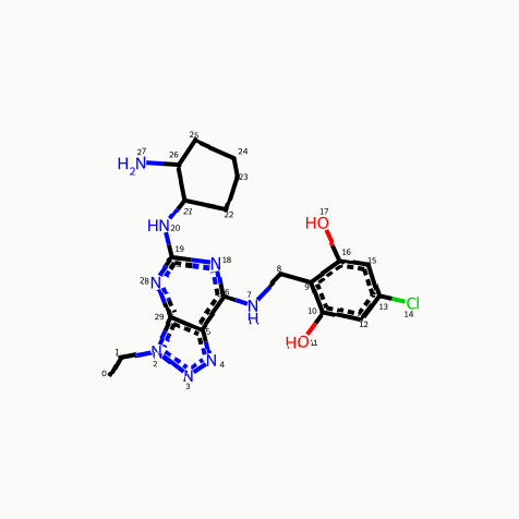 CCn1nnc2c(NCc3c(O)cc(Cl)cc3O)nc(NC3CCCCC3N)nc21